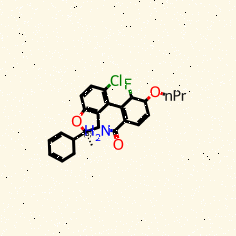 CCCOC1C=CC(C(N)=O)=C(c2c(Cl)ccc3c2C[C@@](C)(C2C=CC=CC2)O3)C1F